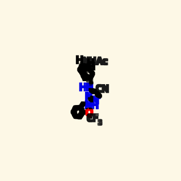 CC(=O)N[C@H]1[C@@H]2CC3C[C@H]1C[C@@](CNc1nc(NCc4ccccc4OC(F)(F)F)ncc1C#N)(C3)C2